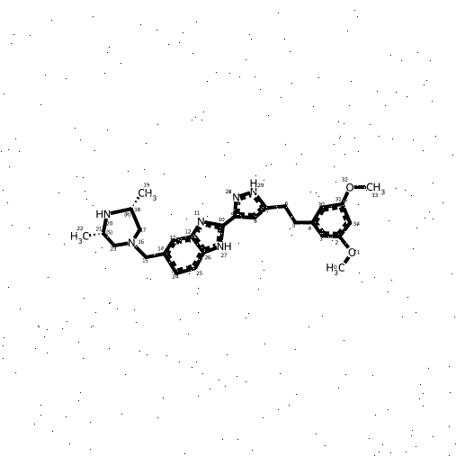 COc1cc(CCc2cc(-c3nc4cc(CN5C[C@@H](C)N[C@@H](C)C5)ccc4[nH]3)n[nH]2)cc(OC)c1